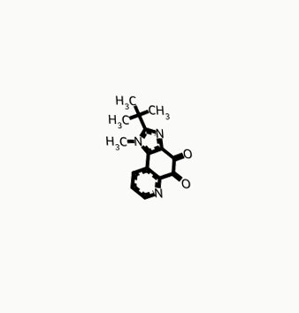 Cn1c(C(C)(C)C)nc2c1-c1cccnc1C(=O)C2=O